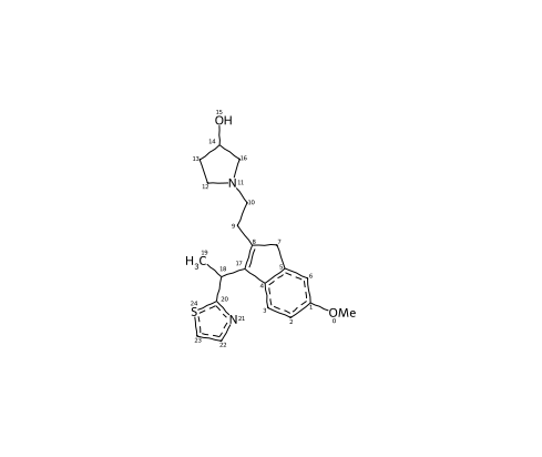 COc1ccc2c(c1)CC(CCN1CCC(O)C1)=C2C(C)c1nccs1